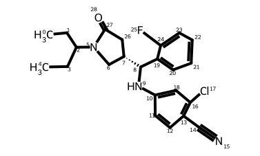 CCC(CC)N1C[C@@H](C(Nc2ccc(C#N)c(Cl)c2)c2ccccc2F)CC1=O